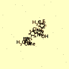 COC(C)(C(=O)NCc1ccc(Cl)c(-c2nc(O)nc(-c3ccc(F)c(C)c3)n2)c1)C(F)(F)F